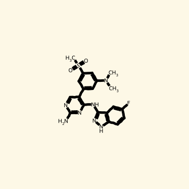 CN(C)c1cc(-c2cnc(N)nc2Nc2n[nH]c3ccc(F)cc23)cc(S(C)(=O)=O)c1